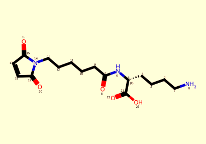 NCCCC[C@@H](NC(=O)CCCCCN1C(=O)C=CC1=O)C(=O)O